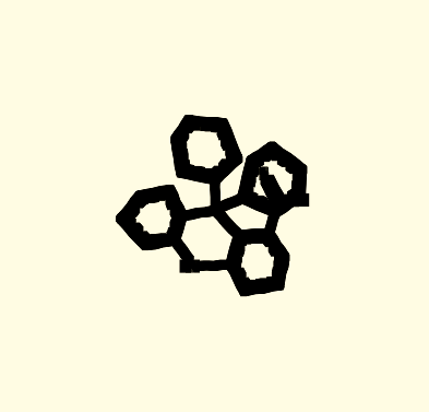 S=C(S)c1cccc2c1C(c1ccccc1)(c1ccccc1)c1ccccc1N2